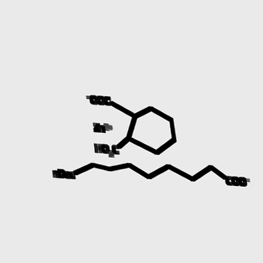 CCCCCCCCCCCCCCCCCC(=O)[O-].O=C([O-])C1CCCCC1C(=O)O.[Zn+2]